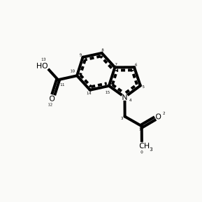 CC(=O)Cn1ccc2ccc(C(=O)O)cc21